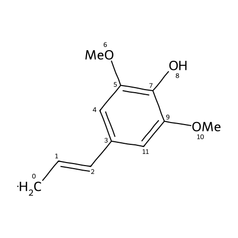 [CH2]C=Cc1cc(OC)c(O)c(OC)c1